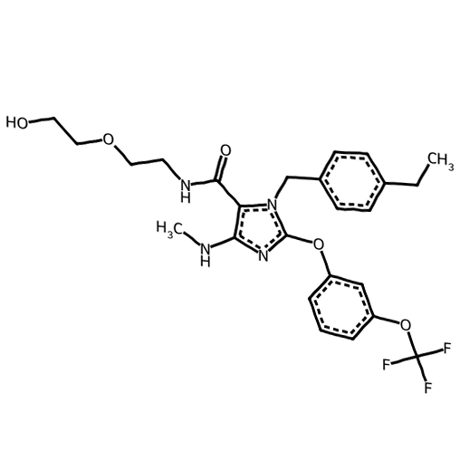 CCc1ccc(Cn2c(Oc3cccc(OC(F)(F)F)c3)nc(NC)c2C(=O)NCCOCCO)cc1